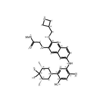 CNC(=O)COc1cc2cc(Nc3nc(N4C[C@@H](C)C(F)(F)[C@@H](C)C4)c(C#N)cc3Cl)ccc2nc1OCC1COC1